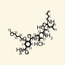 CCCCNC(=O)[C@@H](C[C@H](O)[C@@H](N)C[C@H](CNC(=O)c1ccc(C(=O)NC)cc1OCCCCOC)C(C)C)C(C)C.Cl